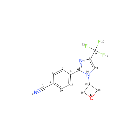 N#Cc1ccc(-c2nc(C(F)(F)F)cn2C2COC2)cc1